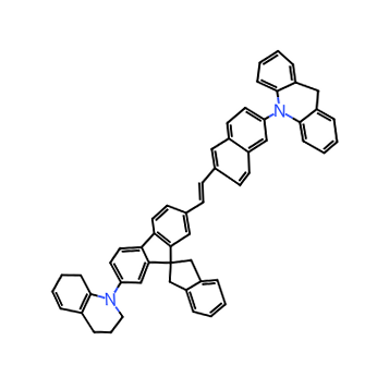 C1=CC2=C(CC1)N(c1ccc3c(c1)C1(Cc4ccccc4C1)c1cc(/C=C/c4ccc5cc(N6c7ccccc7Cc7ccccc76)ccc5c4)ccc1-3)CCC2